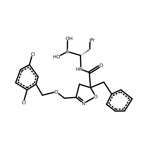 CC(C)C[C@H](NC(=O)C1(Cc2ccccc2)CC(COCc2cc(Cl)ccc2Cl)=NO1)B(O)O